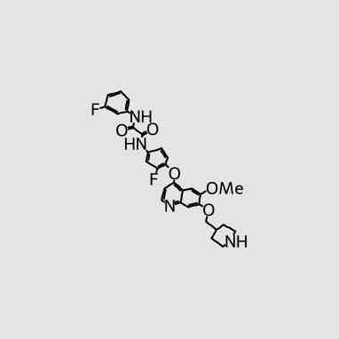 COc1cc2c(Oc3ccc(NC(=O)C(=O)Nc4cccc(F)c4)cc3F)ccnc2cc1OCC1CCNCC1